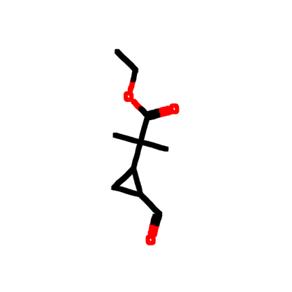 CCOC(=O)C(C)(C)C1CC1C=O